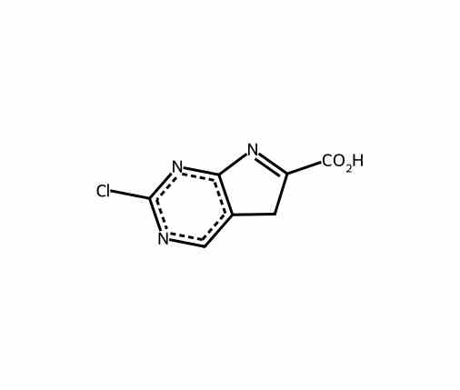 O=C(O)C1=Nc2nc(Cl)ncc2C1